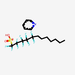 CCCCCCCC(F)(F)C(F)(F)C(F)(F)C(F)(F)C(F)(F)S(=O)(=O)O.c1ccncc1